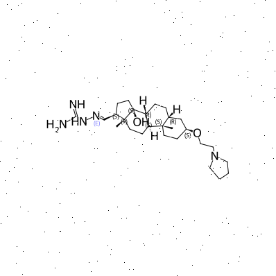 C[C@]12CC[C@H](OCCN3CCCC3)C[C@H]1CC[C@@H]1[C@@H]2CC[C@]2(C)[C@@H](/C=N/NC(=N)N)CC[C@]12O